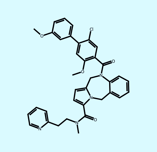 COc1cccc(-c2cc(OC)c(C(=O)N3Cc4ccc(C(=O)N(C)CCc5ccccn5)n4Cc4ccccc43)cc2Cl)c1